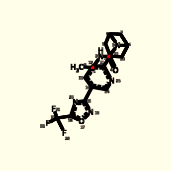 CCNC(=O)N1C2CC1CN(c1ccc(-c3noc(C(F)(F)F)n3)cn1)C2